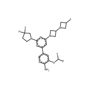 Nc1ncc(-c2cc(N3CC(N4CC(F)C4)C3)nc(N3CCC(F)(F)C3)n2)cc1OC(F)F